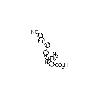 Cn1cnnc1Cn1c(CN2CCC(c3cccc(OCc4ccc(C#N)cc4F)n3)CC2)nc2ccc(C(=O)O)cc21